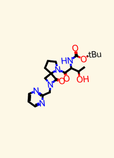 CC(O)C(NC(=O)OC(C)(C)C)C(=O)N1CCCC12CN(Cc1ncccn1)C2=O